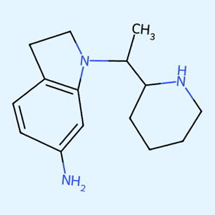 CC(C1CCCCN1)N1CCc2ccc(N)cc21